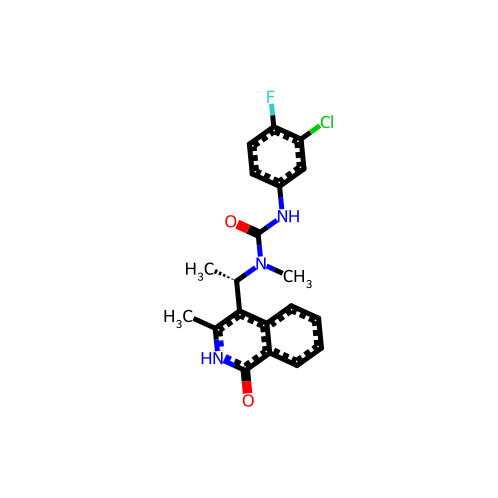 Cc1[nH]c(=O)c2ccccc2c1[C@H](C)N(C)C(=O)Nc1ccc(F)c(Cl)c1